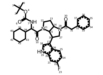 CC(C)(C)OC(=O)NC(C(=O)N1CCC2C1C(c1c[nH]c3cc(F)ccc13)CN2C(=O)Cc1ccccc1)C1CCCCC1